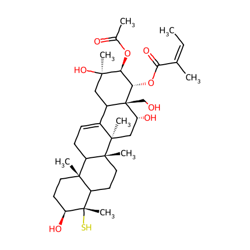 C/C=C(/C)C(=O)O[C@H]1[C@H](OC(C)=O)[C@](C)(O)CC2C3=CCC4[C@@]5(C)CC[C@H](O)[C@@](C)(S)C5CC[C@@]4(C)[C@]3(C)C[C@@H](O)[C@]21CO